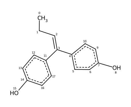 CCC=C(c1ccc(O)cc1)c1ccc(O)cc1